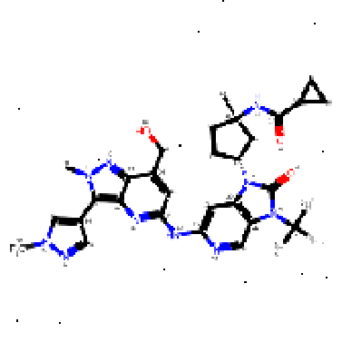 [2H]C([2H])([2H])n1c(=O)n([C@@H]2CC[C@](C)(NC(=O)C3CC3)C2)c2cc(Nc3cc(CO)c4nn(C)c(-c5cnn(C(F)(F)F)c5)c4n3)ncc21